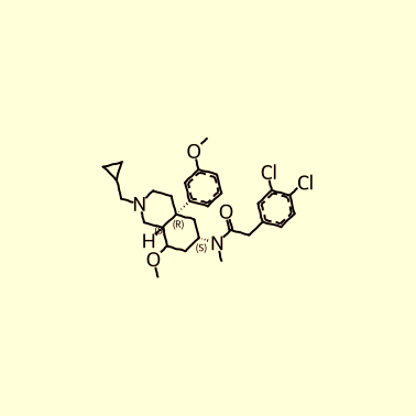 COc1cccc([C@@]23CCN(CC4CC4)C[C@H]2C(OC)C[C@@H](N(C)C(=O)Cc2ccc(Cl)c(Cl)c2)C3)c1